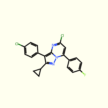 Fc1ccc(-c2cc(Cl)nc3c(-c4ccc(Cl)cc4)c(C4CC4)nn23)cc1